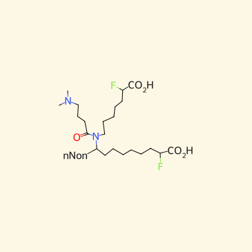 CCCCCCCCCC(CCCCCCC(F)C(=O)O)N(CCCCCC(F)C(=O)O)C(=O)CCCN(C)C